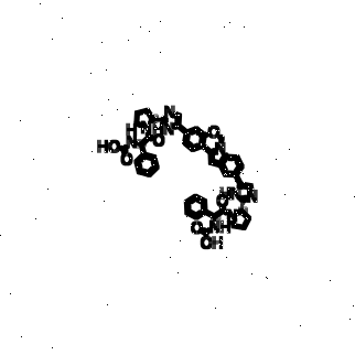 O=C(O)N[C@@H](C(=O)N1CCC[C@H]1c1ncc(-c2ccc3c(c2)OCn2c-3cc3cc(-c4cnc([C@@H]5CCCN5C(=O)[C@H](NC(=O)O)c5ccccc5)[nH]4)ccc32)[nH]1)c1ccccc1